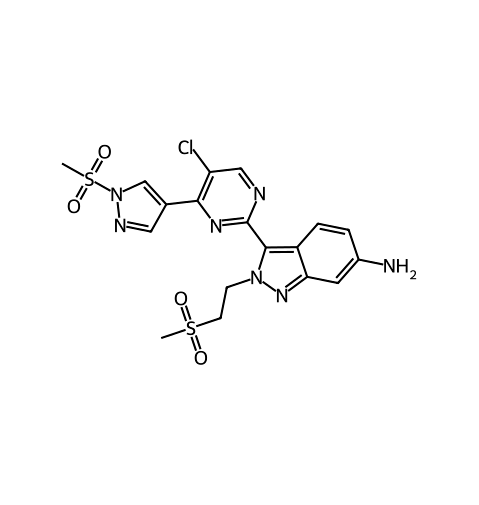 CS(=O)(=O)CCn1nc2cc(N)ccc2c1-c1ncc(Cl)c(-c2cnn(S(C)(=O)=O)c2)n1